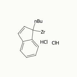 CCCC[C]1([Zr])C=Cc2ccccc21.Cl.Cl